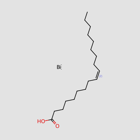 CCCCCCCC/C=C\CCCCCCCC(=O)O.[Bi]